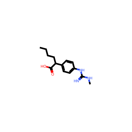 CCCCC(C(=O)O)c1ccc(NC(=N)NC)cc1